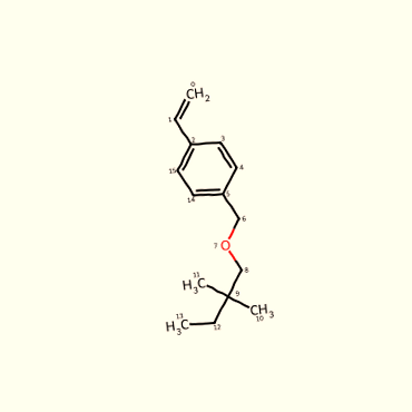 C=Cc1ccc(COCC(C)(C)CC)cc1